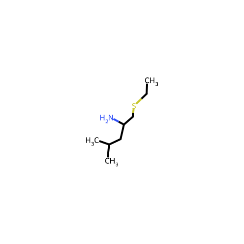 CCSCC(N)CC(C)C